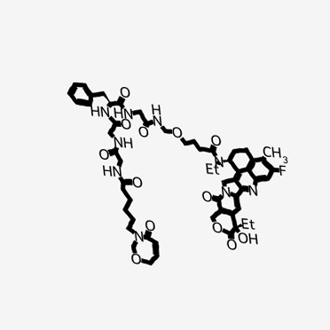 CCN(C(=O)CCCOCNC(=O)CNC(=O)[C@H](Cc1ccccc1)NC(=O)CNC(=O)CNC(=O)CCCCCN1COCC=CC1=O)[C@H]1CCc2c(C)c(F)cc3nc4c(c1c23)Cn1c-4cc2c(c1=O)COC(=O)[C@]2(O)CC